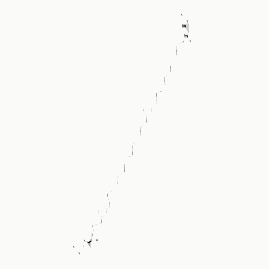 [N-]=[N+]=NCCOCCOCCOCCCCCOCCOCCOCCN=[N+]=[N-]